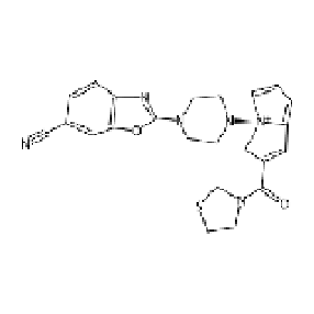 N#Cc1ccc2nc(N3CCN([N@@+]45C=CC=C4C=C(C(=O)N4CCSC4)C5)CC3)oc2c1